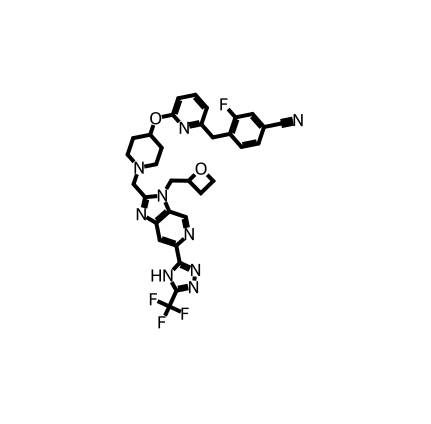 N#Cc1ccc(Cc2cccc(OC3CCN(Cc4nc5cc(-c6nnc(C(F)(F)F)[nH]6)ncc5n4CC4CCO4)CC3)n2)c(F)c1